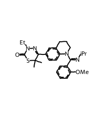 CCN1N=C(c2ccc3c(c2)CCCN3/C(=N\C(C)C)c2ccccc2OC)C(C)(C)SC1=O